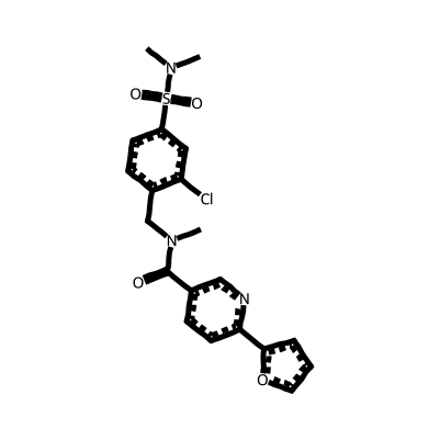 CN(Cc1ccc(S(=O)(=O)N(C)C)cc1Cl)C(=O)c1ccc(-c2ccco2)nc1